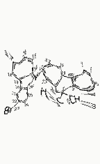 CC1(C)c2ccccc2-c2ccc(-n3c4ccccc4c4cc(Br)ccc43)cc21